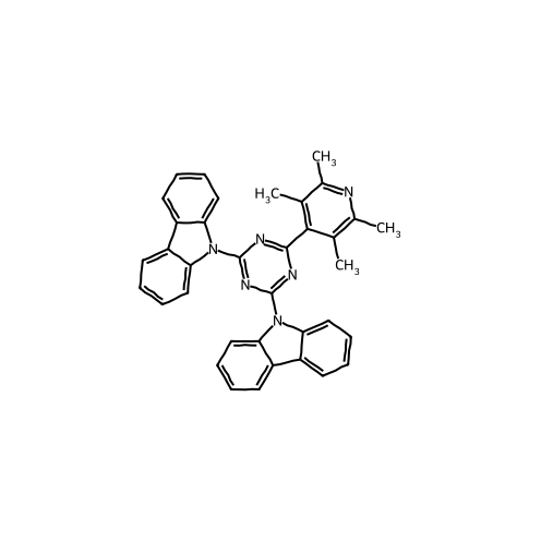 Cc1nc(C)c(C)c(-c2nc(-n3c4ccccc4c4ccccc43)nc(-n3c4ccccc4c4ccccc43)n2)c1C